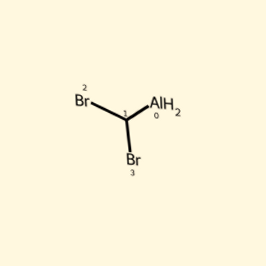 [AlH2][CH](Br)Br